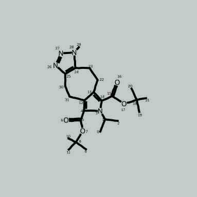 CC(C)n1c(C(=O)OC(C)(C)C)c2c(c1C(=O)OC(C)(C)C)CCc1c(nnn1C)CC2